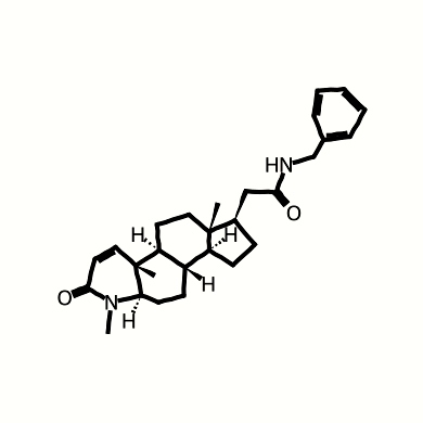 CN1C(=O)C=C[C@]2(C)[C@H]3CC[C@]4(C)[C@@H](CC(=O)NCc5ccccc5)CC[C@H]4[C@@H]3CC[C@@H]12